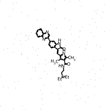 CCN(CC)CCNC(=O)c1c(C)[nH]c(/C=C2\C(=O)Nc3cc(-c4cnc5ccccc5n4)ccc32)c1C